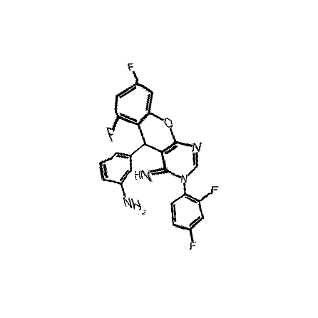 N=c1c2c(ncn1-c1ccc(F)cc1F)Oc1cc(F)cc(F)c1C2c1cccc(N)c1